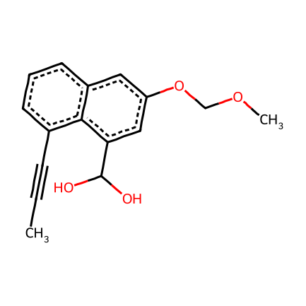 CC#Cc1cccc2cc(OCOC)cc(C(O)O)c12